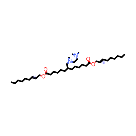 CCCCCC/C=C/COC(=O)CCCCCC(CCCCCC(=O)OC/C=C/CCCCCC)CN(C)CCN(C)C